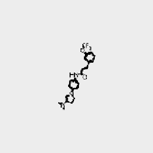 CN(C)C1CCN(c2ccc(NC(=O)/C=C/c3cccc(OC(F)(F)F)c3)cc2)C1